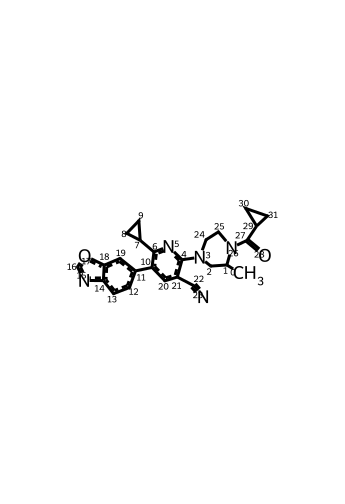 CC1CN(c2nc(C3CC3)c(-c3ccc4ncoc4c3)cc2C#N)CCN1C(=O)C1CC1